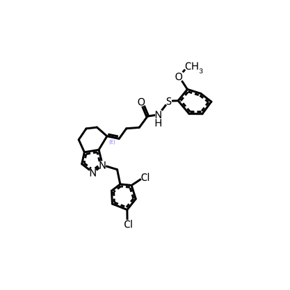 COc1ccccc1SNC(=O)CC/C=C1\CCCc2cnn(Cc3ccc(Cl)cc3Cl)c21